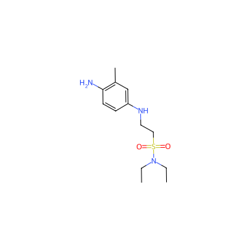 CCN(CC)S(=O)(=O)CCNc1ccc(N)c(C)c1